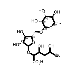 CCC(C)C(O)CC(O)C(OC1O[C@@H](CO[C@@H]2O[C@@H](C)[C@H](O)[C@@H](O)[C@H]2O)[C@H](O)[C@H]1O)C(=O)O